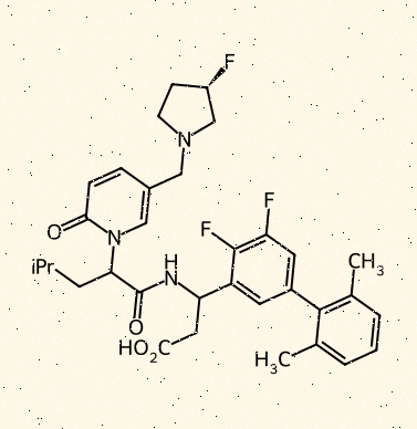 Cc1cccc(C)c1-c1cc(F)c(F)c(C(CC(=O)O)NC(=O)C(CC(C)C)n2cc(CN3CC[C@@H](F)C3)ccc2=O)c1